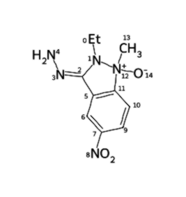 CCN1C(=NN)c2cc([N+](=O)[O-])ccc2[N+]1(C)[O-]